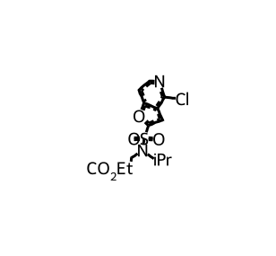 CCOC(=O)CN(C(C)C)S(=O)(=O)c1cc2c(Cl)nccc2o1